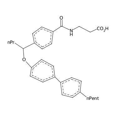 CCCCCc1ccc(-c2ccc(OC(CCC)c3ccc(C(=O)NCCC(=O)O)cc3)cc2)cc1